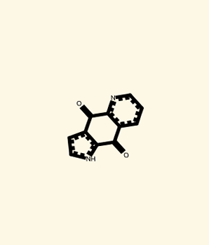 O=C1c2cc[nH]c2C(=O)c2cccnc21